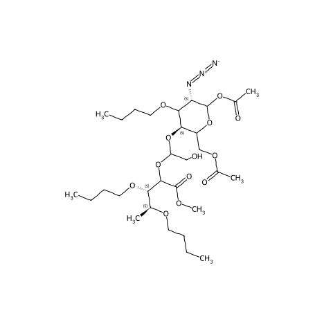 CCCCOC1[C@H](N=[N+]=[N-])C(OC(C)=O)OC(COC(C)=O)[C@H]1OC(CO)OC(C(=O)OC)[C@@H](OCCCC)[C@H](C)OCCCC